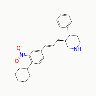 O=[N+]([O-])c1cc(C=CC[C@@H]2CNCC[C@H]2c2ccccc2)ccc1C1CCCCC1